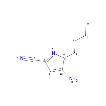 CCCCn1nc(C#N)cc1N